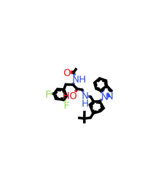 CC(=O)NC(Cc1cc(F)cc(F)c1)C(O)CNCc1cc(CC(C)(C)C)ccc1-n1ncc2ccccc21